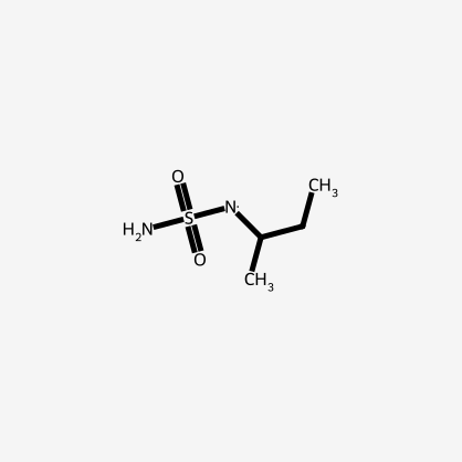 CCC(C)[N]S(N)(=O)=O